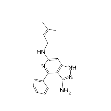 CC(C)=CCNc1cc2[nH]nc(N)c2c(-c2ccccc2)n1